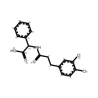 O=C(CCc1ccc(Cl)c(Cl)c1)NC(C(=O)O)c1ccccc1